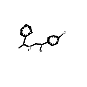 CC(NC[C@H](O)c1ccc(Cl)cc1)c1ccccc1